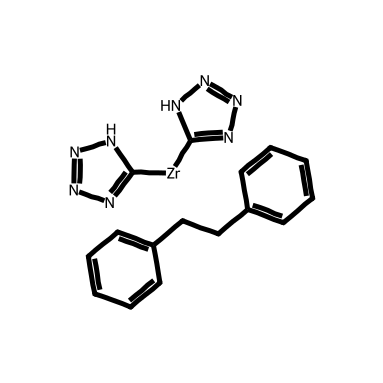 c1ccc(CCc2ccccc2)cc1.n1n[nH][c]([Zr][c]2nnn[nH]2)n1